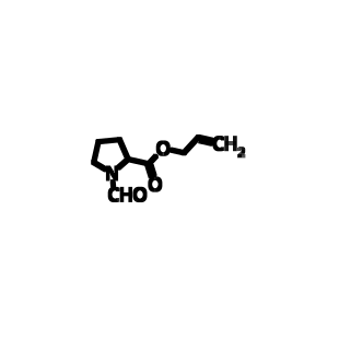 C=CCOC(=O)C1CCCN1C=O